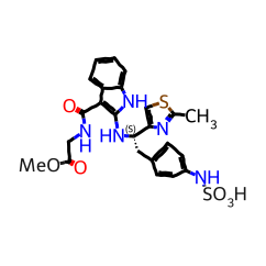 COC(=O)CNC(=O)c1c(N[C@@H](Cc2ccc(NS(=O)(=O)O)cc2)c2csc(C)n2)[nH]c2ccccc12